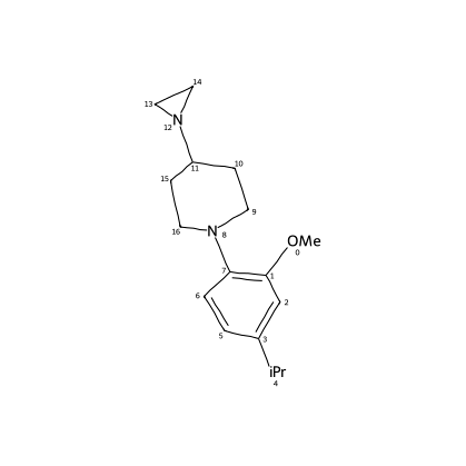 COc1cc(C(C)C)ccc1N1CCC(N2CC2)CC1